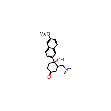 COc1ccc2cc(C3(O)CCC(=O)CC3CN(C)C)ccc2c1